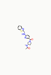 CC(=O)N(C)[C@H]1CCN(C(=O)c2ccc(NCc3nc4ccccc4s3)nc2)C1